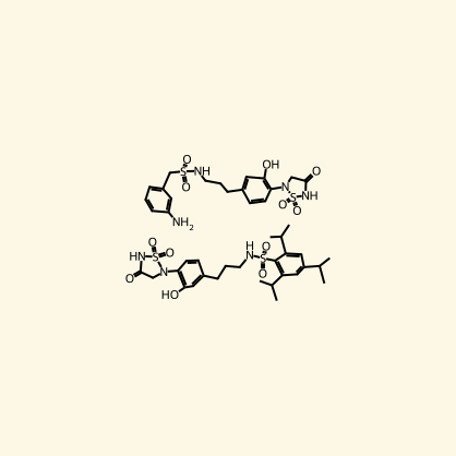 CC(C)c1cc(C(C)C)c(S(=O)(=O)NCCCc2ccc(N3CC(=O)NS3(=O)=O)c(O)c2)c(C(C)C)c1.Nc1cccc(CS(=O)(=O)NCCCc2ccc(N3CC(=O)NS3(=O)=O)c(O)c2)c1